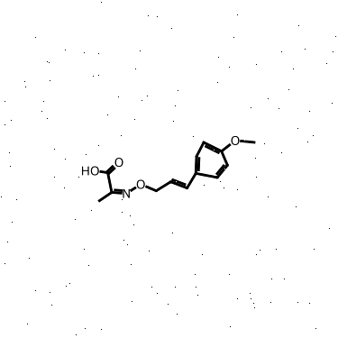 COc1ccc(C=CCON=C(C)C(=O)O)cc1